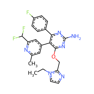 CCn1ccnc1COc1nc(N)nc(-c2ccc(F)cc2)c1-c1cc(C)nc(C(F)F)c1